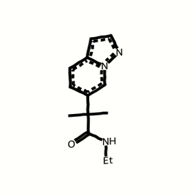 CCNC(=O)C(C)(C)c1ccc2ccnn2c1